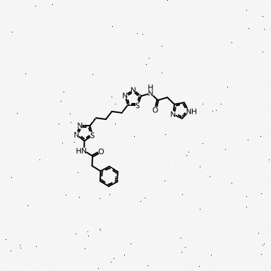 O=C(Cc1ccccc1)Nc1nnc(CCCCc2nnc(NC(=O)Cc3c[nH]cn3)s2)s1